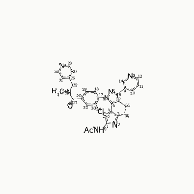 CC(=O)Nc1nc2c(s1)-c1c(c(-c3cccnc3)nn1-c1ccc(C(=O)N(C)Cc3ccncc3)cc1Cl)CC2